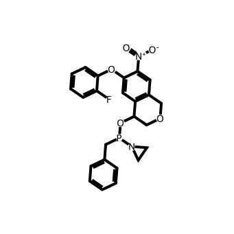 O=[N+]([O-])c1cc2c(cc1Oc1ccccc1F)C(OP(Cc1ccccc1)N1CC1)COC2